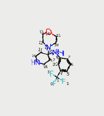 FC(F)(F)c1cccc(NC2(N3CCOCC3)CCNCC2)c1